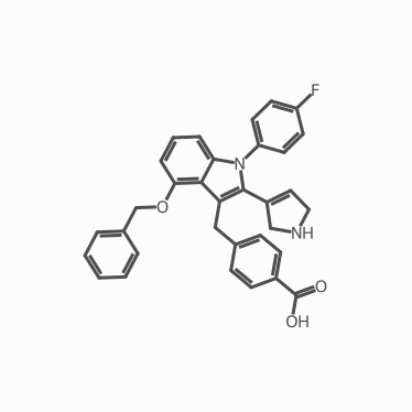 O=C(O)c1ccc(Cc2c(C3=CCNC3)n(-c3ccc(F)cc3)c3cccc(OCc4ccccc4)c23)cc1